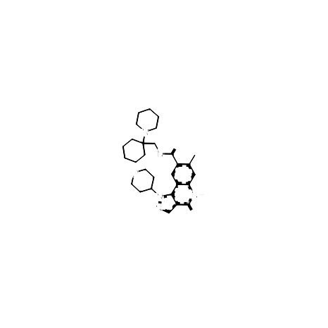 Cc1cc2[nH]c(=O)c3cnn(C4CCOCC4)c3c2cc1C(=O)NCC1(N2CCCCC2)CCCCC1